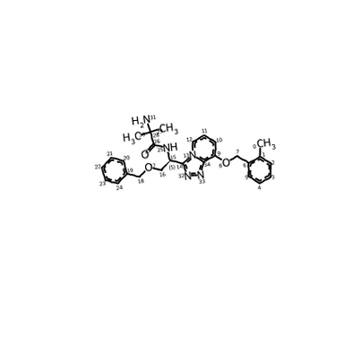 Cc1ccccc1COc1cccn2c([C@@H](COCc3ccccc3)NC(=O)C(C)(C)N)nnc12